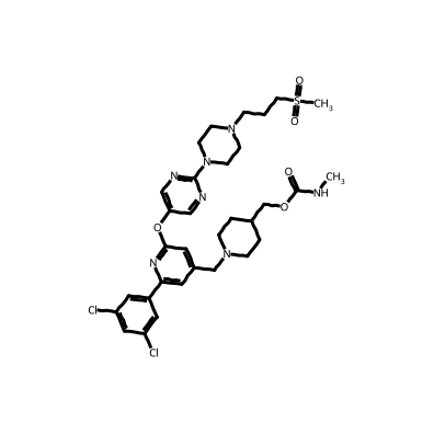 CNC(=O)OCC1CCN(Cc2cc(Oc3cnc(N4CCN(CCCS(C)(=O)=O)CC4)nc3)nc(-c3cc(Cl)cc(Cl)c3)c2)CC1